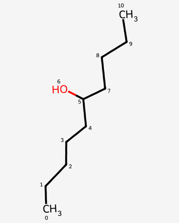 CCCCCC(O)CCCC